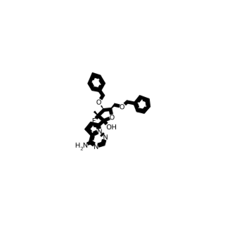 C[C@@]1(F)[C@H](OCc2ccccc2)[C@@H](COCc2ccccc2)OC1(O)c1ccc2c(N)ncnn12